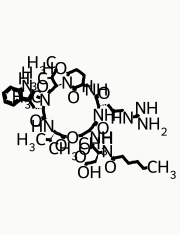 CCCCCC(=O)N[C@@H](CC(=O)O)C(=O)N[C@@H]1C(=O)N[C@@H](CCCNC(=N)N)C(=O)N[C@H]2CC[C@@H](O)N(C2=O)[C@@H]([C@@H](C)CC)C(=O)N(C)[C@@H](Cc2c[nH]c3ccccc23)C(=O)N[C@@H](C(C)C)C(=O)O[C@@H]1C